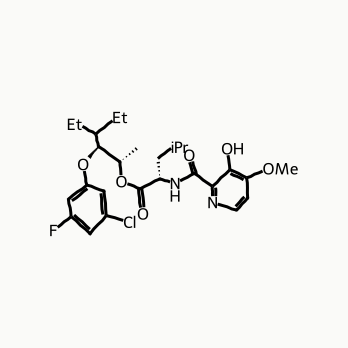 CCC(CC)[C@H](Oc1cc(F)cc(Cl)c1)[C@H](C)OC(=O)[C@H](CC(C)C)NC(=O)c1nccc(OC)c1O